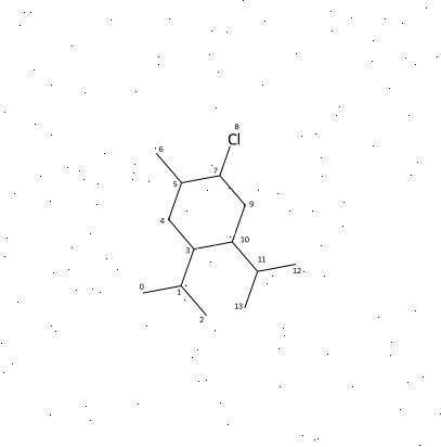 C[C](C)C1CC(C)C(Cl)CC1C(C)C